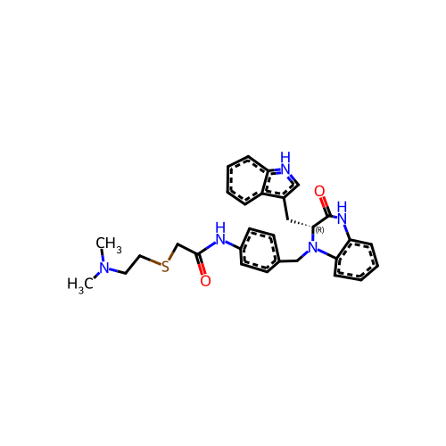 CN(C)CCSCC(=O)Nc1ccc(CN2c3ccccc3NC(=O)[C@H]2Cc2c[nH]c3ccccc23)cc1